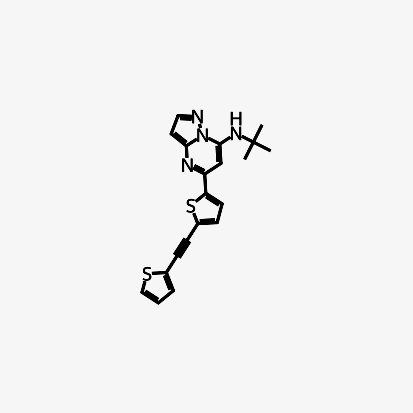 CC(C)(C)Nc1cc(-c2ccc(C#Cc3cccs3)s2)nc2ccnn12